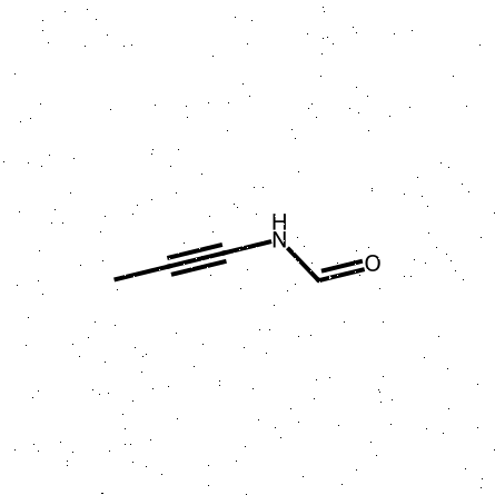 CC#CNC=O